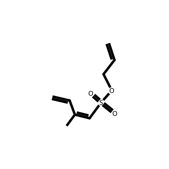 C=CCOS(=O)(=O)C=C(C)C=C